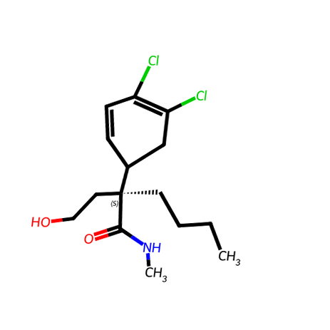 CCCC[C@@](CCO)(C(=O)NC)C1C=CC(Cl)=C(Cl)C1